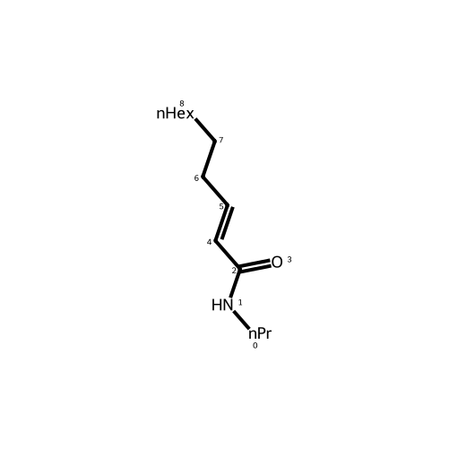 [CH2]CCNC(=O)C=CCCCCCCCC